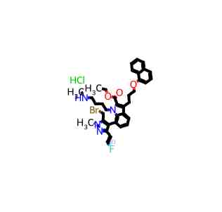 CCOC(=O)c1c(CCCOc2cccc3ccccc23)c2cccc(-c3c(/C=C/F)nn(C)c3CBr)c2n1CCCCNC.Cl